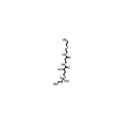 CC(C)(C)CCSCCNC(=O)CCNC(=O)C(O)CCOP(=O)(O)OCC(C)(C)C